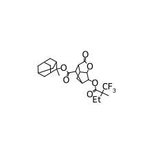 CCC(C)(C(=O)OC1C2CC3C1OC(=O)C3C2C(=O)OC1(C)C2CC3CC(C2)CC1C3)C(F)(F)F